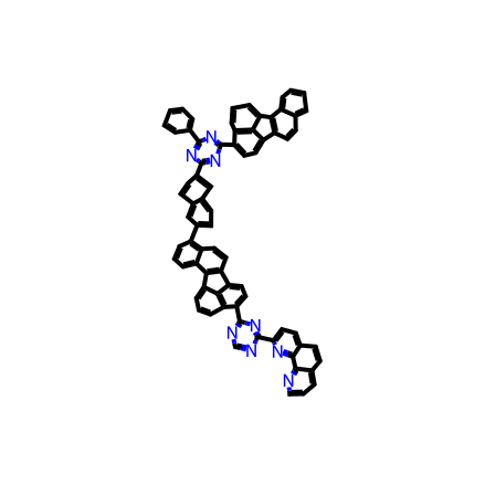 c1ccc(-c2nc(-c3ccc4cc(-c5cccc6c7c(ccc56)-c5ccc(-c6ncnc(-c8ccc9ccc%10cccnc%10c9n8)n6)c6cccc-7c56)ccc4c3)nc(-c3ccc4c5c(cccc35)-c3c-4ccc4ccccc34)n2)cc1